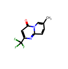 Cc1ccc2nc(C(F)(F)F)cc(=O)n2c1